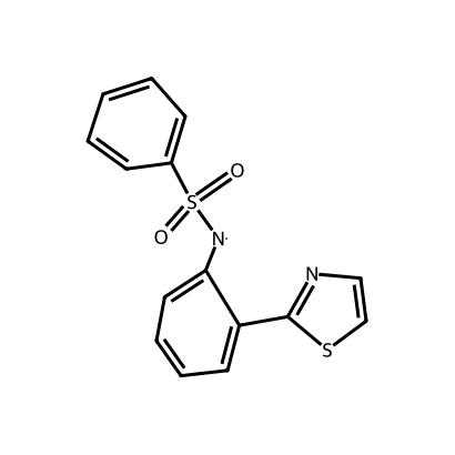 O=S(=O)([N]c1ccccc1-c1nccs1)c1ccccc1